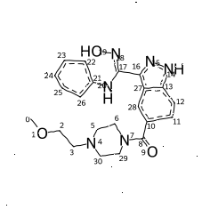 COCCN1CCN(C(=O)c2ccc3[nH]nc(/C(=N/O)Nc4ccccc4)c3c2)CC1